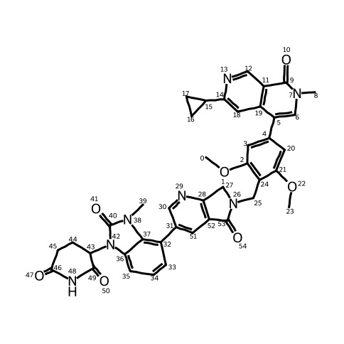 COc1cc(-c2cn(C)c(=O)c3cnc(C4CC4)cc23)cc(OC)c1CN1Cc2ncc(-c3cccc4c3n(C)c(=O)n4C3CCC(=O)NC3=O)cc2C1=O